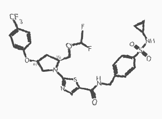 O=C(NCc1ccc(S(=O)(=O)NC2CC2)cc1)c1cnc(N2C[C@@H](Oc3ccc(C(F)(F)F)cc3)C[C@H]2COC(F)F)s1